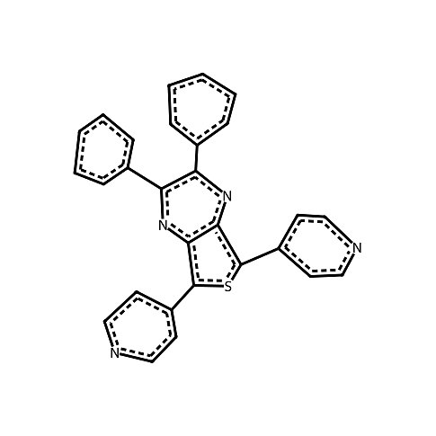 c1ccc(-c2nc3c(-c4ccncc4)sc(-c4ccncc4)c3nc2-c2ccccc2)cc1